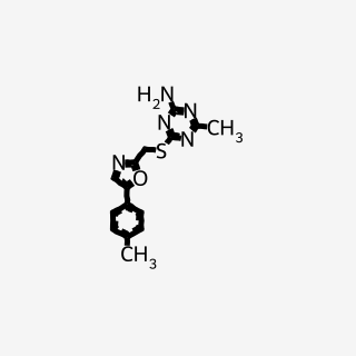 Cc1ccc(-c2cnc(CSc3nc(C)nc(N)n3)o2)cc1